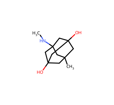 CNC12CC3(C)CC(O)(CC(O)(C3)C1)C2